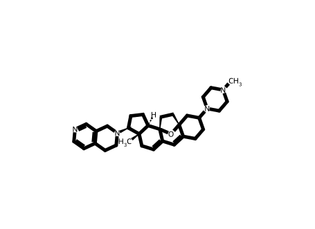 CN1CCN(C2CCC3=CC4=CC[C@]5(C)[C@@H](N6CCc7ccncc7C6)CC[C@H]5[C@@]45CC[C@]3(C2)O5)CC1